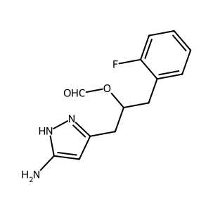 Nc1cc(CC(Cc2ccccc2F)OC=O)n[nH]1